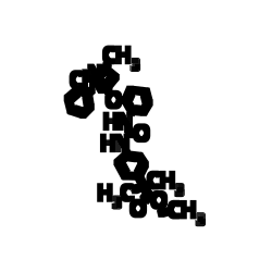 CCOC(=O)C(C)(C)c1ccc(NC(=O)Nc2ccccc2Oc2cc(C)nn2-c2ccccc2Cl)cc1